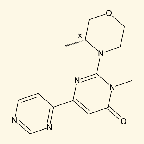 C[C@@H]1COCCN1c1nc(-c2ccncn2)cc(=O)n1C